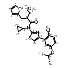 O=C(O)CC(Cc1ccco1)C(=O)N(c1nc(-c2cc(OC(F)F)ccc2Cl)cs1)C1CC1